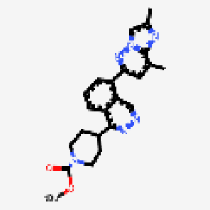 Cc1cn2nc(-c3cccc4c(C5CCN(C(=O)OC(C)(C)C)CC5)nncc34)cc(C)c2n1